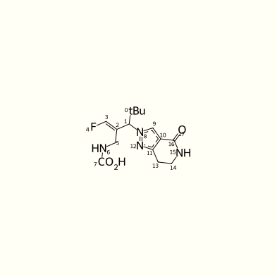 CC(C)(C)C(/C(=C/F)CNC(=O)O)n1cc2c(n1)CCNC2=O